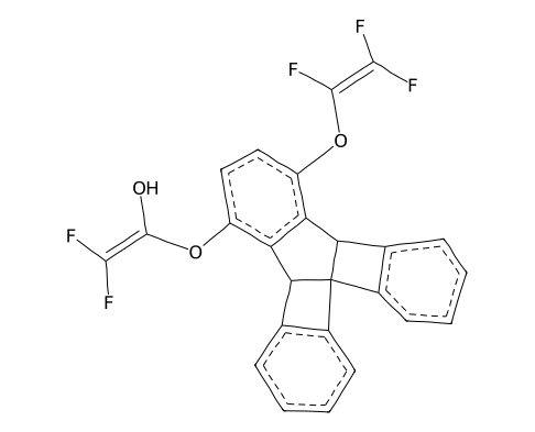 OC(Oc1ccc(OC(F)=C(F)F)c2c1C1c3ccccc3C13c1ccccc1C23)=C(F)F